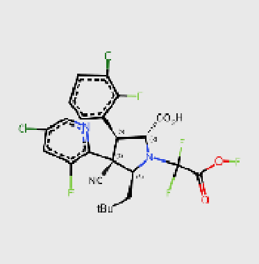 CC(C)(C)C[C@@H]1N(C(F)(F)C(=O)OF)[C@@H](C(=O)O)[C@H](c2cccc(Cl)c2F)[C@@]1(C#N)c1ncc(Cl)cc1F